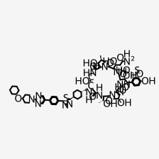 C[C@@H](O)[C@@H]1NC(=O)[C@@H](NC[C@H]2CC[C@H](c3nnc(-c4ccc(-c5cnc(N6CCC(OC7CCCCC7)CC6)nc5)cc4)s3)CC2)C[C@@H](O)CNC(=O)[C@@H]2[C@@H](O)[C@@H](C)CN2C(=O)[C@H]([C@H](O)CC(N)=O)NC(=O)[C@H]([C@H](O)[C@@H](O)c2ccc(O)c(OS(=O)(=O)O)c2)NC(=O)[C@@H]2C[C@@H](O)CN2C1=O